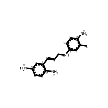 Cc1cc(NCC=Cc2cc(N)ccc2N)ccc1N